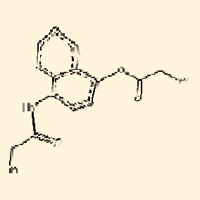 CC(C)CC(=O)Nc1ccc(OC(=O)CC(C)C)c2ccccc12